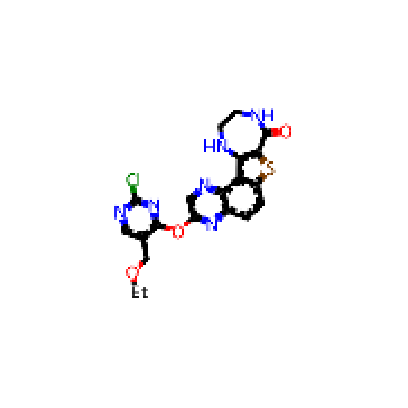 CCOCc1cnc(Cl)nc1Oc1cnc2c(ccc3sc4c(c32)NCCNC4=O)n1